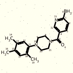 Bc1ccc(C(=O)N2CCN(c3cc(C)c(C)cc3C)CC2)cn1